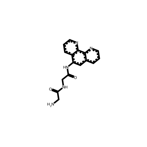 NCC(=O)NCC(=O)Nc1cc2cccnc2c2ncccc12